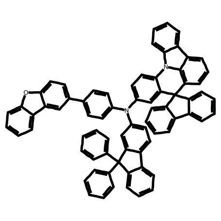 c1ccc(C2(c3ccccc3)c3ccccc3-c3ccc(N(c4ccc(-c5ccc6oc7ccccc7c6c5)cc4)c4ccc5c(c4)C4(c6ccccc6-c6ccccc64)c4cccc6c7ccccc7n-5c46)cc32)cc1